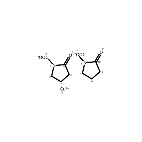 O=C([O-])N1CCCC1=O.O=C([O-])N1CCCC1=O.[Cu+2]